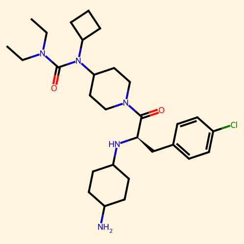 CCN(CC)C(=O)N(C1CCC1)C1CCN(C(=O)[C@@H](Cc2ccc(Cl)cc2)NC2CCC(N)CC2)CC1